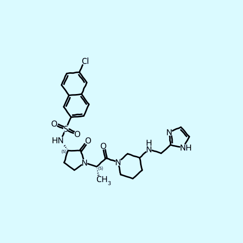 C[C@@H](C(=O)N1CCCC(NCc2ncc[nH]2)C1)N1CC[C@H](NS(=O)(=O)c2ccc3cc(Cl)ccc3c2)C1=O